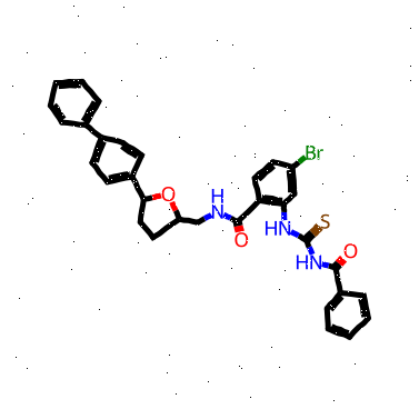 O=C(NC(=S)Nc1cc(Br)ccc1C(=O)NCC1CCC(c2ccc(-c3ccccc3)cc2)O1)c1ccccc1